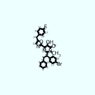 Cn1c(C(Cc2ccccc2)c2ccc(Br)cc2)nc(-c2ncc(Cc3ccc(F)cc3)o2)c(O)c1=O